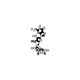 Nc1nc2c(ncn2[C@@H]2O[C@H](COP(=O)(O)OP(=O)(O)OP(=O)(O)O)[C@@H](O)[C@H]2O)c(=O)[nH]1.[Mg]